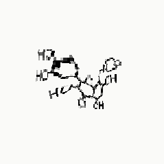 O=c1c(O)c(-c2ccc(O)c(O)c2)oc2c(CN3CCOCC3)c(O)cc(O)c12